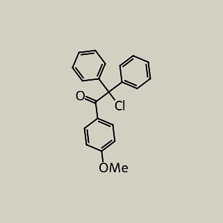 COc1ccc(C(=O)C(Cl)(c2ccccc2)c2ccccc2)cc1